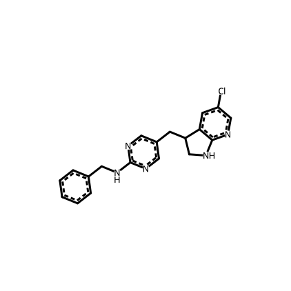 Clc1cnc2c(c1)C(Cc1cnc(NCc3ccccc3)nc1)CN2